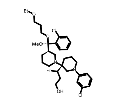 CCOCCCO[C@@](OC)(c1ccccc1Cl)[C@@H]1CCCN([C@]2(C(CC)CCO)CCCN(c3cccc(Cl)c3)C2)C1